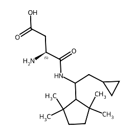 CC1(C)CCC(C)(C)C1C(CC1CC1)NC(=O)[C@@H](N)CC(=O)O